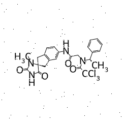 C[C@H](c1ccccc1)N(CC(=O)Nc1ccc2c(c1)C[C@@]1(C2)C(=O)NC(=O)N1C)C(=O)C(Cl)(Cl)Cl